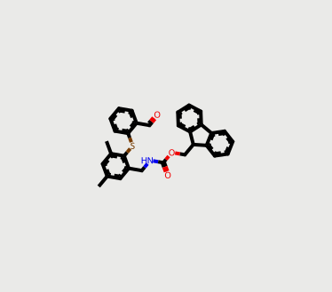 Cc1cc(C)c(Sc2ccccc2C=O)c(CNC(=O)OCC2c3ccccc3-c3ccccc32)c1